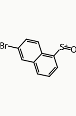 O=[S+]c1cccc2cc(Br)ccc12